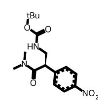 CN(C)C(=O)[C@@H](CNC(=O)OC(C)(C)C)c1ccc([N+](=O)[O-])cc1